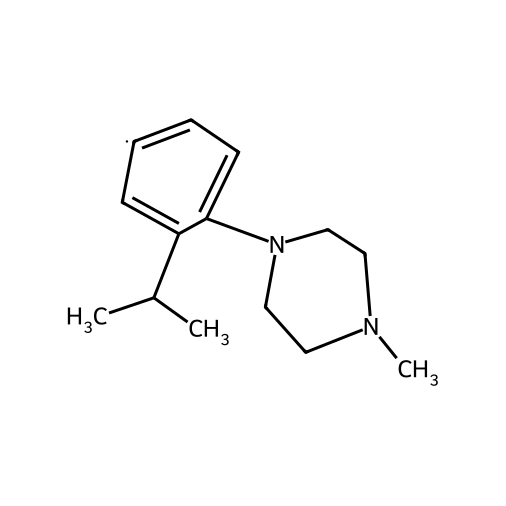 CC(C)c1c[c]ccc1N1CCN(C)CC1